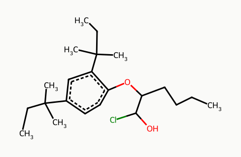 CCCCC(Oc1ccc(C(C)(C)CC)cc1C(C)(C)CC)C(O)Cl